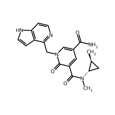 C[C@H]1C[C@@H]1N(C)C(=O)c1cc(C(N)=O)cn(Cc2nccc3[nH]ccc23)c1=O